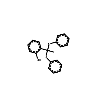 CC(Oc1ccccc1)(Oc1ccccc1)c1ccccc1O